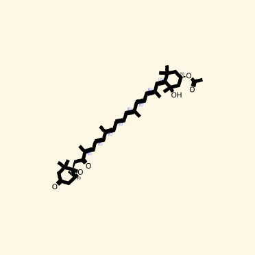 CC(=O)O[C@H]1CC(C)(C)/C(=C/C(C)=C/C=C/C(C)=C/C=C/C=C(C)/C=C/C=C(\C)C(=O)C[C@@]23O[C@]2(C)CC(=O)CC3(C)C)C(C)(O)C1